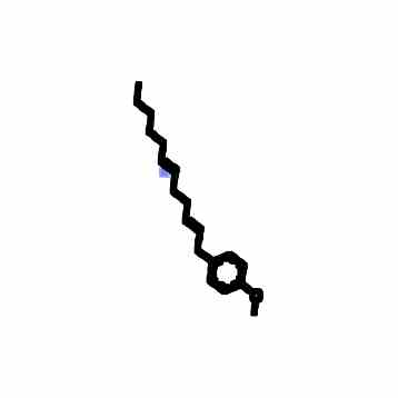 CCCCC/C=C/CCC=CCc1ccc(OC)cc1